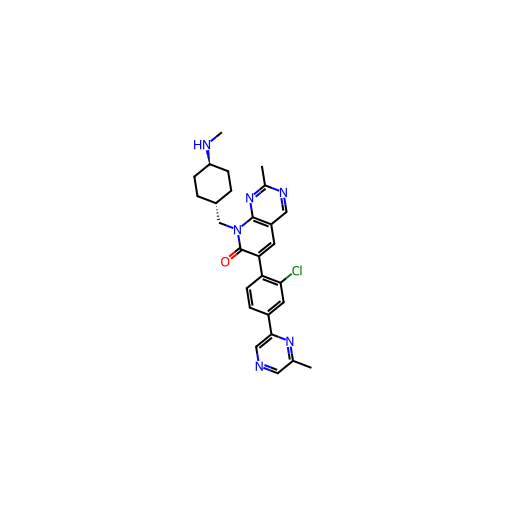 CN[C@H]1CC[C@H](Cn2c(=O)c(-c3ccc(-c4cncc(C)n4)cc3Cl)cc3cnc(C)nc32)CC1